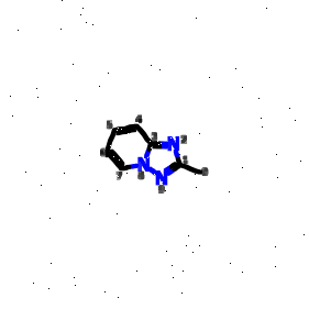 Cc1nc2cc[c]cn2n1